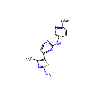 COc1ccc(Nc2nccc(-c3sc(N)nc3C)n2)cn1